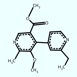 CCc1cc(-c2c(C(=O)OC)cnc(C)c2OC)ccn1